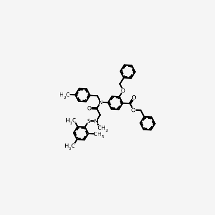 Cc1ccc(CN(C(=O)CN(C)Sc2c(C)cc(C)cc2C)c2ccc(C(=O)OCc3ccccc3)c(OCc3ccccc3)c2)cc1